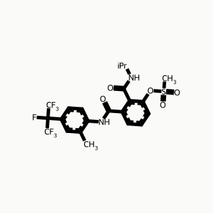 Cc1cc(C(F)(C(F)(F)F)C(F)(F)F)ccc1NC(=O)c1cccc(OS(C)(=O)=O)c1C(=O)NC(C)C